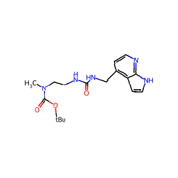 CN(CCNC(=O)NCc1ccnc2[nH]ccc12)C(=O)OC(C)(C)C